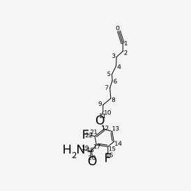 C#CCCCCCCCCCOc1ccc(F)c(C(N)=O)c1F